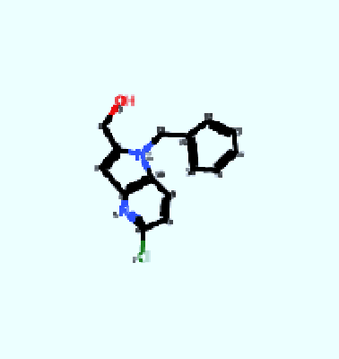 OCc1cc2nc(Cl)ccc2n1Cc1ccccc1